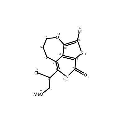 COCC(Cl)c1[nH]c(=O)c2sc(Br)c3c2c1CCCO3